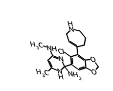 CNC1=NC(N)(c2cc3c(c(C4=CCNCCC4)c2Cl)OCO3)NC(C)=C1